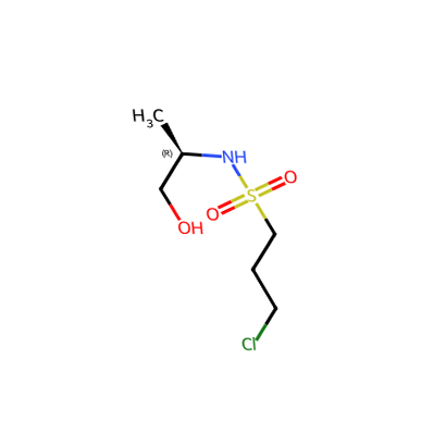 C[C@H](CO)NS(=O)(=O)CCCCl